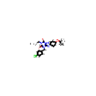 C[C@@H](Oc1ccc(/N=c2\[nH]c(=O)n(CC(=O)O)c(=O)n2Cc2ccc(Cl)cc2)cc1)C(F)(F)F